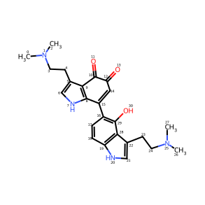 CN(C)CCc1c[nH]c2c1C(=O)C(=O)C=C2c1ccc2[nH]cc(CCN(C)C)c2c1O